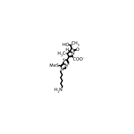 CSc1c2sc(C3=C(C(=O)[O-])N4C(=O)[C@H]([C@@H](C)O)[C@H]4[C@H]3C)c[n+]2cn1CCCCCCN